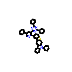 c1ccc(-c2cnc(-c3ccc4sc5cc6c(cc5c4c3)c3ccccc3n6-c3ccccc3)c(-c3nc(-c4ccccc4)nc(-c4ccccc4)n3)c2)cc1